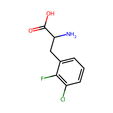 NC(Cc1cccc(Cl)c1F)C(=O)O